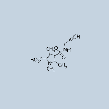 C#CCNS(=O)(=O)c1c(C)c(C(=O)O)n(C)c1C